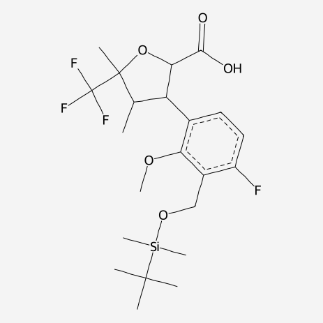 COc1c(C2C(C(=O)O)OC(C)(C(F)(F)F)C2C)ccc(F)c1CO[Si](C)(C)C(C)(C)C